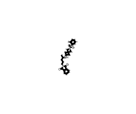 CC(CCCN1C(=O)c2ccccc2C1=O)NC1CC2(C1)CN(S(=O)(=O)c1ccccc1F)C2